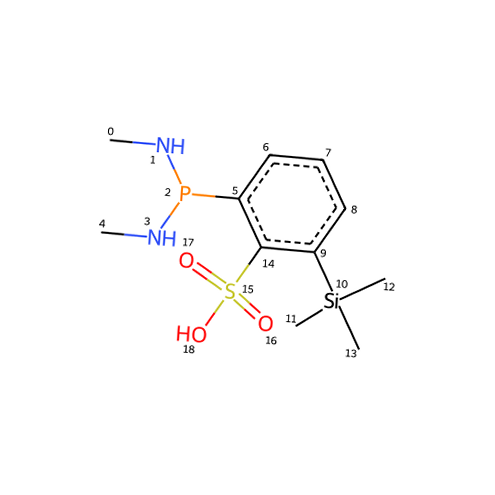 CNP(NC)c1cccc([Si](C)(C)C)c1S(=O)(=O)O